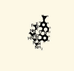 Nc1nc(Nc2cnn(CC(F)F)c2)nc(-c2cccc(N3CCc4cc(C5CC5)cc(F)c4C3=O)c2CO)n1